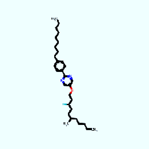 CCCCCCCCCc1ccc(-c2ncc(OCCC(F)CCC(C)CCCCC)cn2)cc1